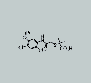 CC(C)Oc1cc(NC(=O)CSC(C)(C)C(=O)O)c(Cl)cc1Cl